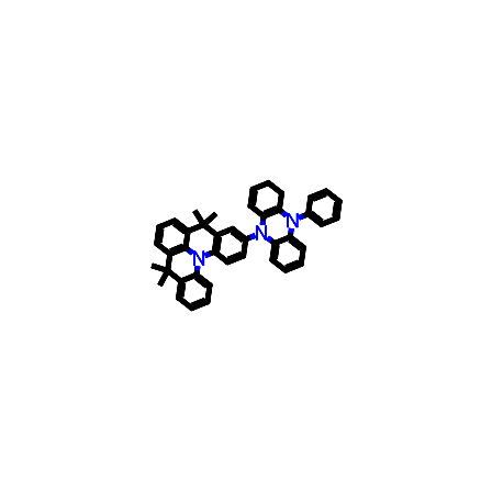 CC1(C)c2ccccc2N2c3ccc(N4C5=C(CCC=C5)N(c5ccccc5)c5ccccc54)cc3C(C)(C)c3cccc1c32